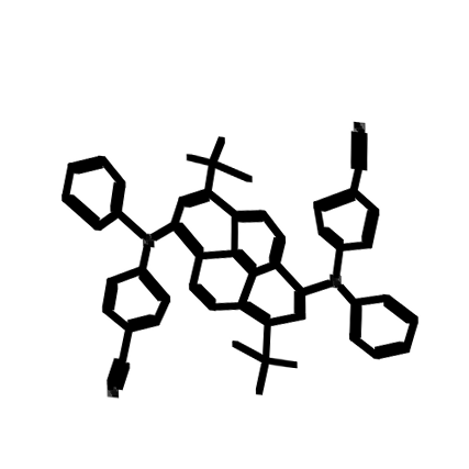 CC(C)(C)c1cc(N(c2ccccc2)c2ccc(C#N)cc2)c2ccc3c(C(C)(C)C)cc(N(c4ccccc4)c4ccc(C#N)cc4)c4ccc1c2c43